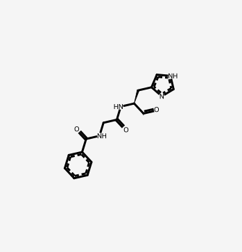 O=[C][C@H](Cc1c[nH]cn1)NC(=O)CNC(=O)c1ccccc1